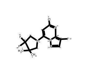 CC1(C)CN(c2cc(Cl)nc3c(F)cnn23)CC1(F)F